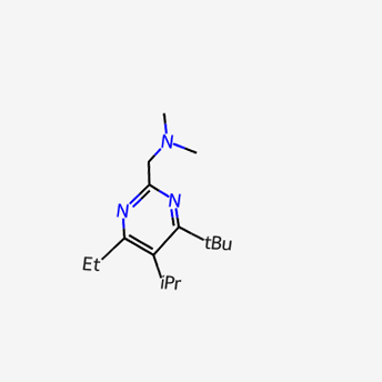 CCc1nc(CN(C)C)nc(C(C)(C)C)c1C(C)C